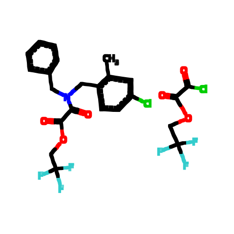 Cc1cc(Cl)ccc1CN(Cc1ccccc1)C(=O)C(=O)OCC(F)(F)F.O=C(Cl)C(=O)OCC(F)(F)F